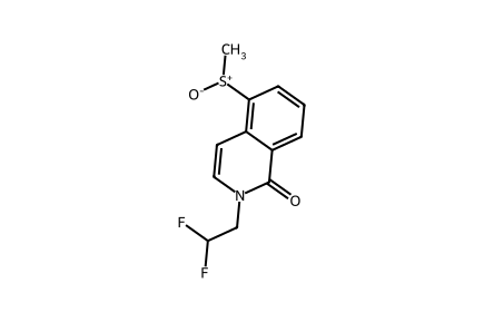 C[S+]([O-])c1cccc2c(=O)n(CC(F)F)ccc12